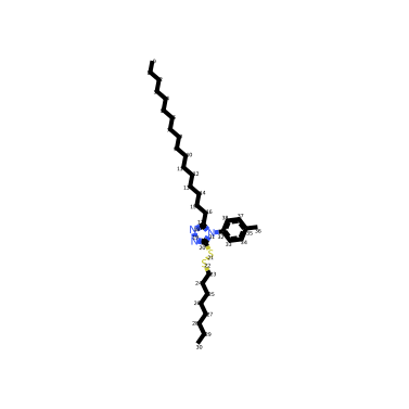 CCCCCCCCCCCCCCCCCc1nnc(SSCCCCCCCC)n1-c1ccc(C)cc1